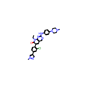 CCn1c(=O)c(-c2ccc(-c3cnn(C)c3)cc2Cl)cc2cnc(Nc3ccc(N4CCN(C)CC4)cc3)nc21